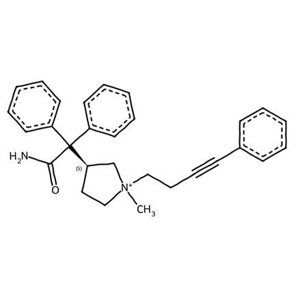 C[N+]1(CCC#Cc2ccccc2)CC[C@@H](C(C(N)=O)(c2ccccc2)c2ccccc2)C1